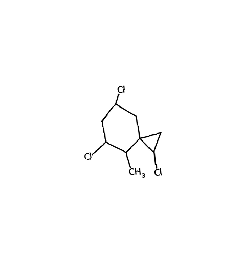 CC1C(Cl)CC(Cl)CC12CC2Cl